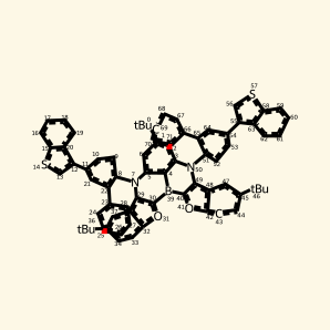 CC(C)(C)c1cc2c3c(c1)N(c1ccc(-c4csc5ccccc45)cc1-c1ccccc1)c1c(oc4ccc(C(C)(C)C)cc14)B3c1oc3ccc(C(C)(C)C)cc3c1N2c1ccc(-c2csc3ccccc23)cc1-c1ccccc1